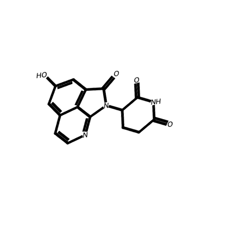 O=C1CCC(N2C(=O)c3cc(O)cc4ccnc2c34)C(=O)N1